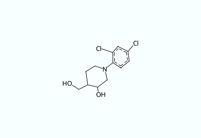 OCC1CCN(c2ccc(Cl)cc2Cl)CC1O